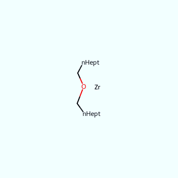 CCCCCCCCOCCCCCCCC.[Zr]